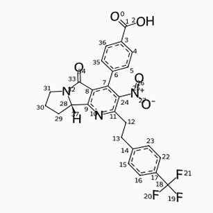 O=C(O)c1ccc(-c2c3c(nc(CCc4ccc(C(F)(F)F)cc4)c2[N+](=O)[O-])[C@@H]2CCCN2C3=O)cc1